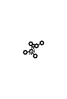 c1ccc(-c2ccc3c(c2)c2ccccc2n3-c2cc(-c3ccccc3)nc(-c3ccccc3)n2)cc1